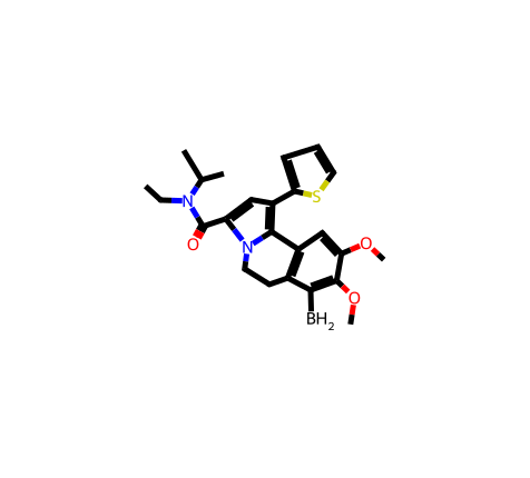 Bc1c2c(cc(OC)c1OC)-c1c(-c3cccs3)cc(C(=O)N(CC)C(C)C)n1CC2